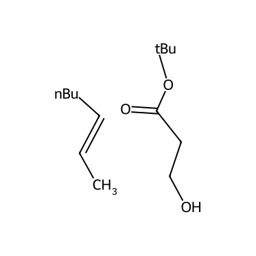 CC(C)(C)OC(=O)CCO.CC=CCCCC